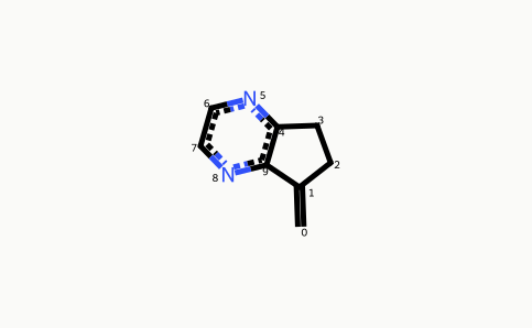 C=C1CCc2nccnc21